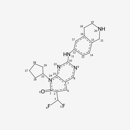 O=c1c(C(F)F)cc2cnc(Nc3ccc4c(c3)CCNC4)nc2n1C1CCCC1